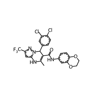 CC1=C(C(=O)Nc2ccc3c(c2)OCCO3)C(c2ccc(Cl)c(Cl)c2)n2nc(C(F)(F)F)cc2N1